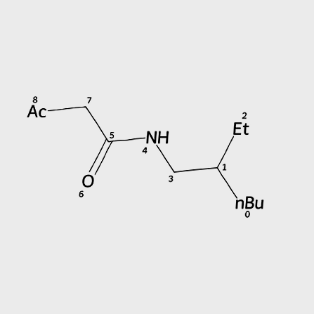 CCCCC(CC)CNC(=O)CC(C)=O